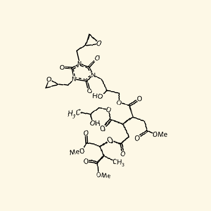 COC(=O)CC(C(=O)OCC(O)Cn1c(=O)n(CC2CO2)c(=O)n(CC2CO2)c1=O)C(CC(=O)OC(C(=O)OC)C(C)C(=O)OC)C(=O)OCC(C)O